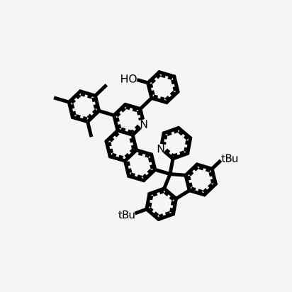 Cc1cc(C)c(-c2cc(-c3ccccc3O)nc3c2ccc2ccc(C4(c5ccccn5)c5cc(C(C)(C)C)ccc5-c5ccc(C(C)(C)C)cc54)cc23)c(C)c1